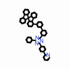 c1ccc(-c2nc(-c3ccc(-c4ccccn4)cc3)nc(-c3cccc(-c4cccc(-c5cccc6c5-c5ccccc5C65c6ccccc6-c6ccccc65)c4)c3)n2)cc1